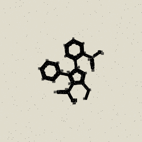 CCc1cn(-c2ccccc2[N+](=O)[O-])c(-c2ccccc2)c1C(=O)O